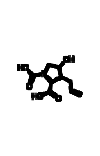 C=CC[C@@H]1[C@H](O)CN(C(=O)O)[C@@H]1C(=O)O